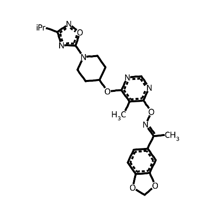 CC(=NOc1ncnc(OC2CCN(c3nc(C(C)C)no3)CC2)c1C)c1ccc2c(c1)OCO2